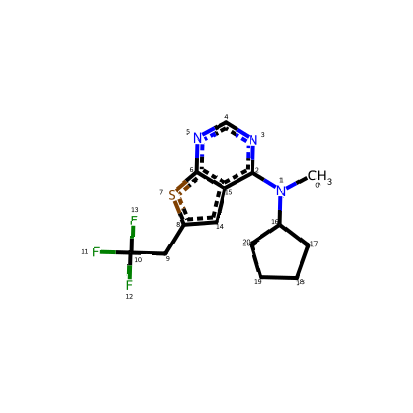 CN(c1ncnc2sc(CC(F)(F)F)cc12)C1CCCC1